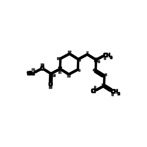 C=C(Cl)/C=C/N(C)CC1CCN(C(=O)OC(C)(C)C)CC1